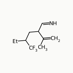 C=C(C)C(C=N)CC(CC)C(F)(F)F